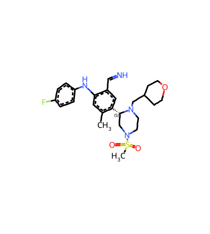 Cc1cc(Nc2ccc(F)cc2)c(C=N)cc1[C@H]1CN(S(C)(=O)=O)CCN1CC1CCOCC1